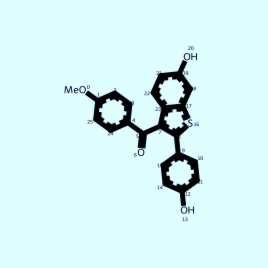 COc1ccc(C(=O)c2c(-c3ccc(O)cc3)sc3cc(O)ccc23)cc1